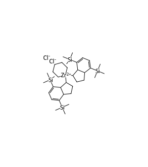 C[Si](C)(C)C1=CC=C([Si](C)(C)C)C2C1CC[CH]2[Zr+2]1([CH]2CCC3C([Si](C)(C)C)=CC=C([Si](C)(C)C)C32)[CH2]CCC[CH2]1.[Cl-].[Cl-]